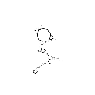 COc1cc2cc(c1Cl)N(C)C(=O)C[C@H](OC(=O)Nc1ccc(NC(=O)[C@H](CCCNC(N)=O)NC(=O)[C@@H](NC(=S)NCCCCN3C(=O)C=CC3=O)C(C)C)cc1C(F)(F)F)[C@]1(C)O[C@H]1[C@H](C)[C@@H]1C[C@@](O)(NC(=O)O1)[C@H](OC)/C=C/C=C(\C)C2